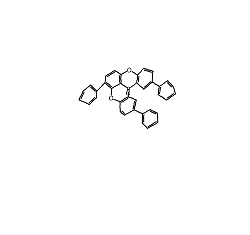 O=P12c3cc(-c4ccccc4)ccc3Oc3ccc(-c4ccccc4)c(c31)Oc1ccc(-c3ccccc3)cc12